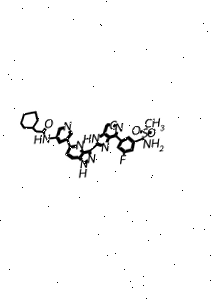 CS(=O)(=O)C(N)c1cc(F)cc(-c2nccc3[nH]c(-c4n[nH]c5ccc(-c6cncc(NC(=O)CC7CCCCC7)c6)nc45)nc23)c1